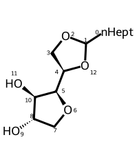 CCCCCCCC1OC[C@H]([C@H]2OC[C@H](O)[C@H]2O)O1